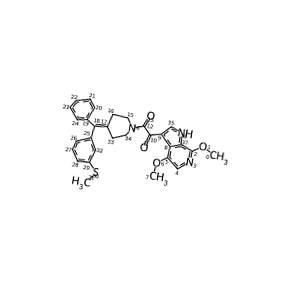 COc1ncc(OC)c2c(C(=O)C(=O)N3CCC(=C(c4ccccc4)c4cccc(SC)c4)CC3)c[nH]c12